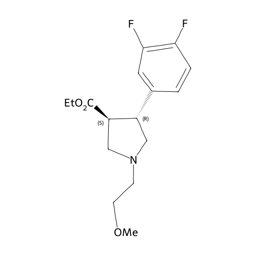 CCOC(=O)[C@@H]1CN(CCOC)C[C@H]1c1ccc(F)c(F)c1